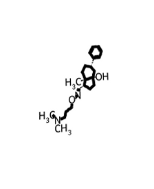 CN(C)CCCO/N=C/[C@H]1CC[C@]2(O)C[C@@H](c3ccccc3)CC[C@]12C